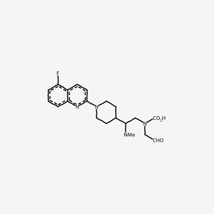 CNC(CN(CC=O)C(=O)O)C1CCN(c2ccc3c(F)cccc3n2)CC1